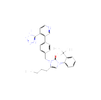 CCCCc1cn(-c2ccccc2C(C)(C)C)c(=O)n1Cc1ccc(-c2cnccc2-c2nnn[nH]2)cc1